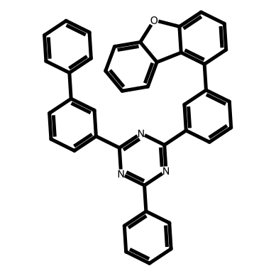 c1ccc(-c2cccc(-c3nc(-c4ccccc4)nc(-c4cccc(-c5cccc6oc7ccccc7c56)c4)n3)c2)cc1